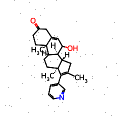 CC1=C(c2cccnc2)[C@@]2(C)CC[C@@H]3[C@@H](C(O)C=C4CC(=O)CC[C@@]43C)[C@@H]2C1